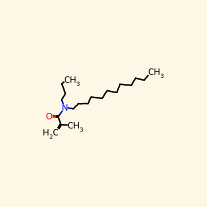 C=C(C)C(=O)N(CCCC)CCCCCCCCCCCC